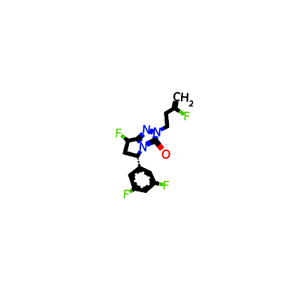 C=C(F)CCn1nc2n(c1=O)[C@H](c1cc(F)cc(F)c1)CC2F